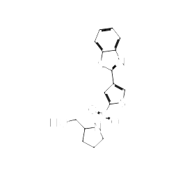 O=S(=O)(c1cc(-c2nc3ccccc3s2)cs1)N1CCCC1CO